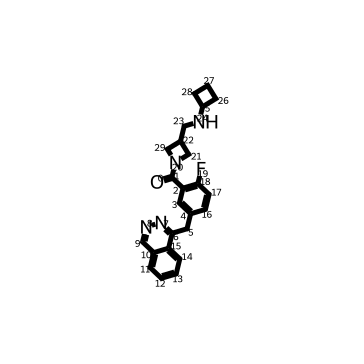 O=C(c1cc(Cc2nncc3ccccc23)ccc1F)N1CC(CNC2CCC2)C1